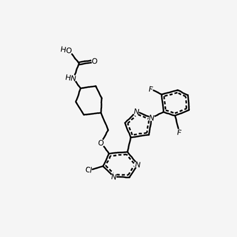 O=C(O)NC1CCC(COc2c(Cl)ncnc2-c2cnn(-c3c(F)cccc3F)c2)CC1